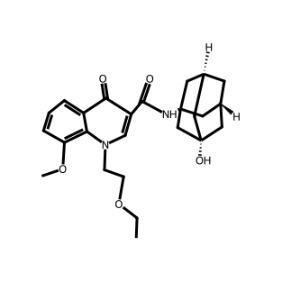 CCOCCn1cc(C(=O)N[C@]23C[C@@H]4C[C@@H](C[C@@](O)(C4)C2)C3)c(=O)c2cccc(OC)c21